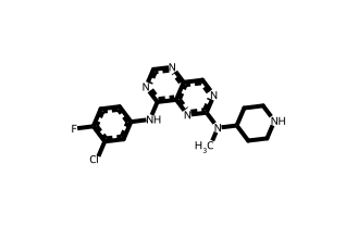 CN(c1ncc2ncnc(Nc3ccc(F)c(Cl)c3)c2n1)C1CCNCC1